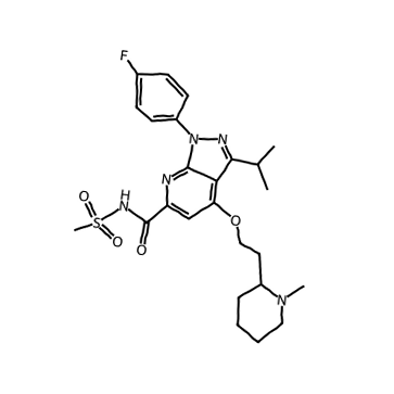 CC(C)c1nn(-c2ccc(F)cc2)c2nc(C(=O)NS(C)(=O)=O)cc(OCCC3CCCCN3C)c12